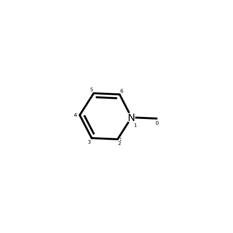 CN1[C]C=CC=C1